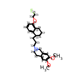 COc1cc2c(cc1OC)CN(CCCC1CCCc3c(OCCF)cccc31)CC2